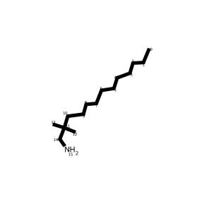 CCCCCCCCCCCC(C)(C)CN